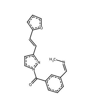 C/N=C\c1cccc(C(=O)n2ccc(/C=C/c3ccco3)n2)c1